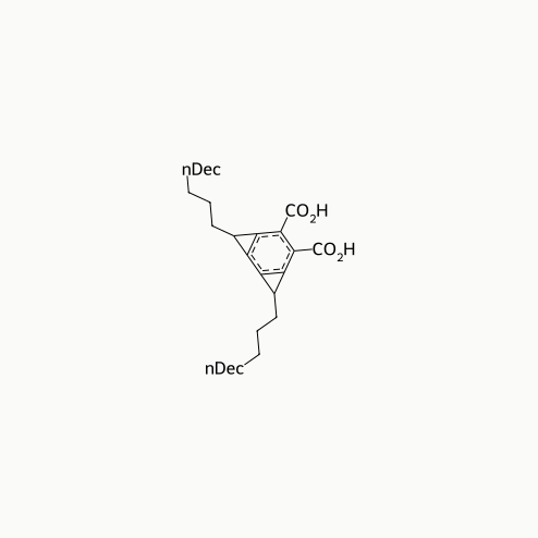 CCCCCCCCCCCCCC1c2c(C(=O)O)c(C(=O)O)c3c(c21)C3CCCCCCCCCCCCC